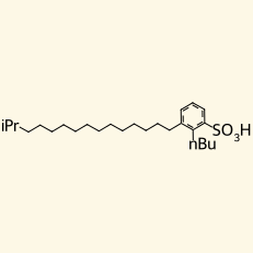 CCCCc1c(CCCCCCCCCCCCCC(C)C)cccc1S(=O)(=O)O